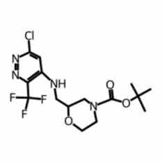 CC(C)(C)OC(=O)N1CCOC(CNc2cc(Cl)nnc2C(F)(F)F)C1